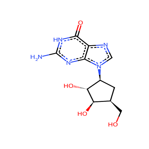 Nc1nc2c(ncn2[C@H]2C[C@@H](CO)[C@@H](O)[C@@H]2O)c(=O)[nH]1